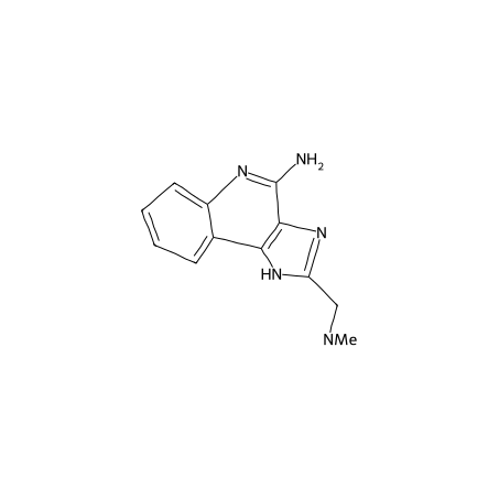 CNCc1nc2c(N)nc3ccccc3c2[nH]1